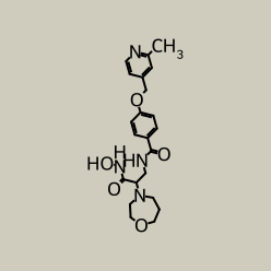 Cc1cc(COc2ccc(C(=O)NCC(C(=O)NO)N3CCCOCC3)cc2)ccn1